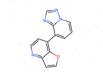 c1cc(-c2ccnc3ccoc23)c2ncnn2c1